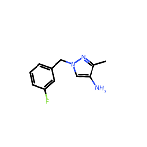 Cc1nn(Cc2cccc(F)c2)cc1N